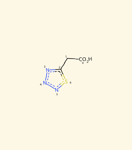 O=C(O)Cc1nnns1